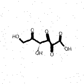 O=C(O)C(=O)C(=O)[C@H](O)C(=O)CO